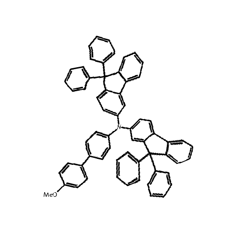 COc1ccc(-c2ccc(N(c3ccc4c(c3)-c3ccccc3C4(c3ccccc3)c3ccccc3)c3ccc4c(c3)C(c3ccccc3)(c3ccccc3)c3ccccc3-4)cc2)cc1